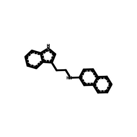 c1ccc2cc(NCCc3c[nH]c4ccccc34)ccc2c1